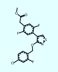 COC(=O)Cc1cc(F)c(-c2csnc2OCc2ccc(Cl)cc2F)cc1F